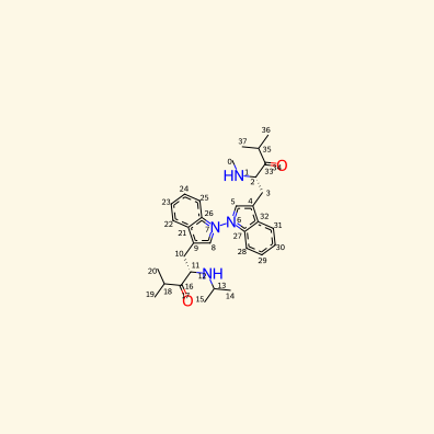 CN[C@@H](Cc1cn(-n2cc(C[C@H](NC(C)C)C(=O)C(C)C)c3ccccc32)c2ccccc12)C(=O)C(C)C